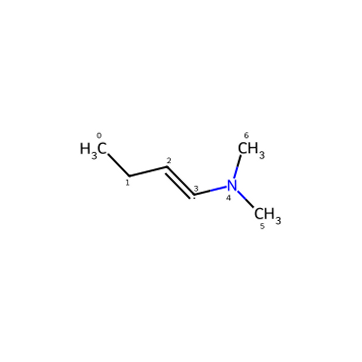 CC/C=[C]/N(C)C